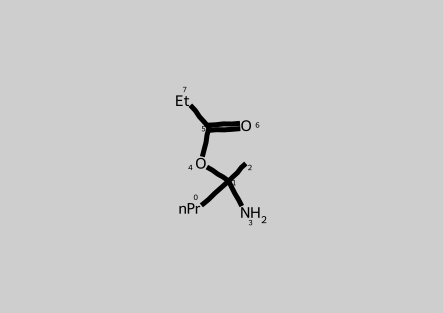 CCCC(C)(N)OC(=O)CC